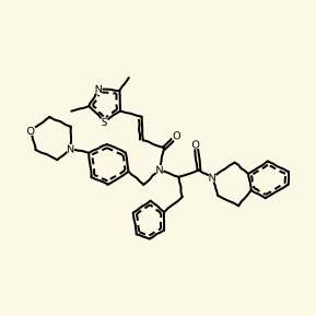 Cc1nc(C)c(C=CC(=O)N(Cc2ccc(N3CCOCC3)cc2)C(Cc2ccccc2)C(=O)N2CCc3ccccc3C2)s1